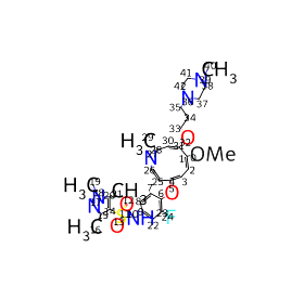 COc1ccc(Oc2ccc(NS(=O)(=O)c3c(C)nn(C)c3C)cc2F)ccnc(C)cc1OCCCN1CCN(C)CC1